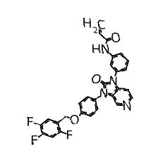 C=CC(=O)Nc1cccc(-n2c(=O)n(-c3ccc(OCc4cc(F)c(F)cc4F)cc3)c3cnccc32)c1